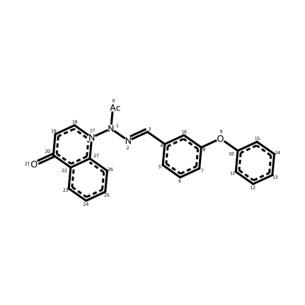 CC(=O)N(N=Cc1cccc(Oc2ccccc2)c1)n1ccc(=O)c2ccccc21